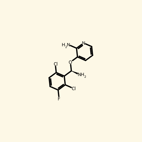 Nc1ncccc1O[C@@H](N)c1c(Cl)ccc(F)c1Cl